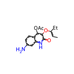 CC=C(CC)Oc1c(OC(C)=O)c2ccc(N)cc2[nH]c1=O